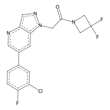 O=C(Cn1ncc2ncc(-c3ccc(F)c(Cl)c3)cc21)N1CC(F)(F)C1